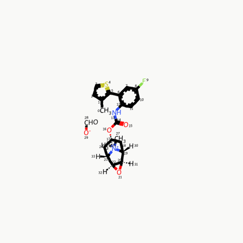 Cc1ccsc1-c1cc(F)ccc1NC(=O)O[C@@H]1C[C@@H]2[C@H]3O[C@H]3[C@H](C1)[N+]2(C)C.O=C[O-]